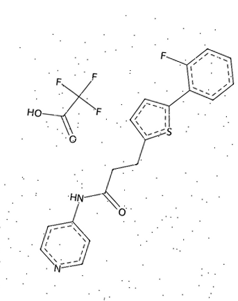 O=C(CCc1ccc(-c2ccccc2F)s1)Nc1ccncc1.O=C(O)C(F)(F)F